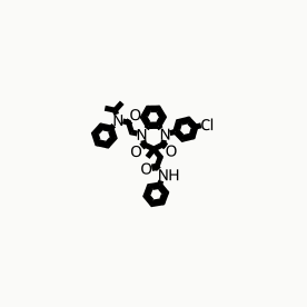 CC(C)N(C(=O)CN1C(=O)C(C)(CC(=O)Nc2ccccc2)C(=O)N(c2ccc(Cl)cc2)c2ccccc21)c1ccccc1